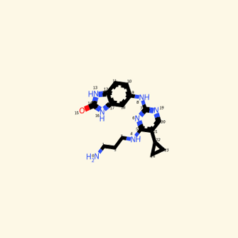 NCCCNc1nc(Nc2ccc3[nH]c(=O)[nH]c3c2)ncc1C1CC1